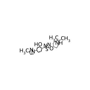 Cc1ccn(-c2ccc(-c3nnc(OC4CC5NC(C4)C4(C)C(C)C54)s3)c(O)c2)n1